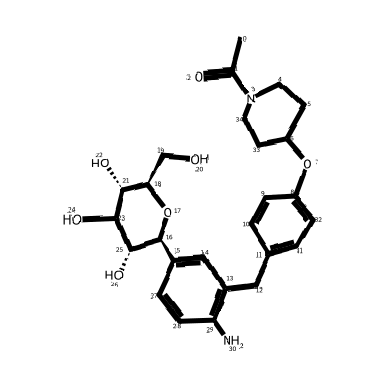 CC(=O)N1CCC(Oc2ccc(Cc3cc([C@@H]4O[C@H](CO)[C@@H](O)C(O)[C@H]4O)ccc3N)cc2)CC1